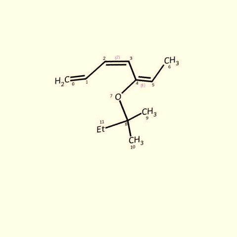 C=C/C=C\C(=C/C)OC(C)(C)CC